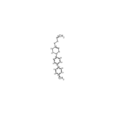 C=CCCC1=CCC(c2ccc(-c3ccc(C)cc3)cc2)CC1